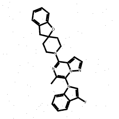 Cc1nc(N2CCC3(CC2)Cc2ccccc2O3)c2ccnn2c1-n1cc(F)c2ccccc21